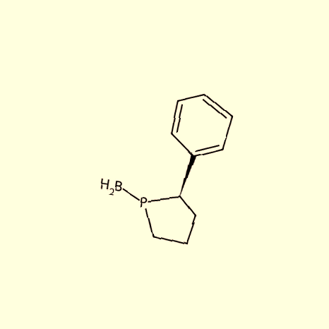 BP1CCC[C@@H]1c1ccccc1